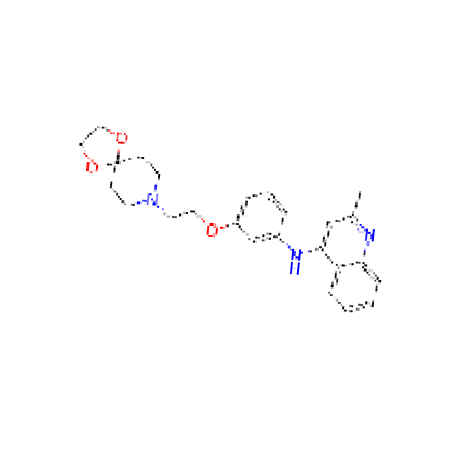 Cc1cc(Nc2cccc(OCCN3CCC4(CC3)OCCO4)c2)c2ccccc2n1